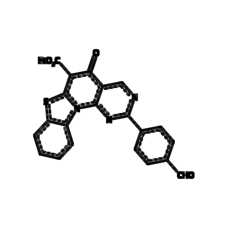 CCOC(=O)c1c(=O)c2cnc(-c3ccc(C=O)cc3)nc2n2c1sc1ccccc12